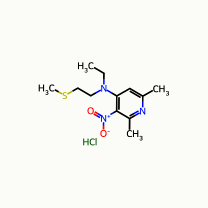 CCN(CCSC)c1cc(C)nc(C)c1[N+](=O)[O-].Cl